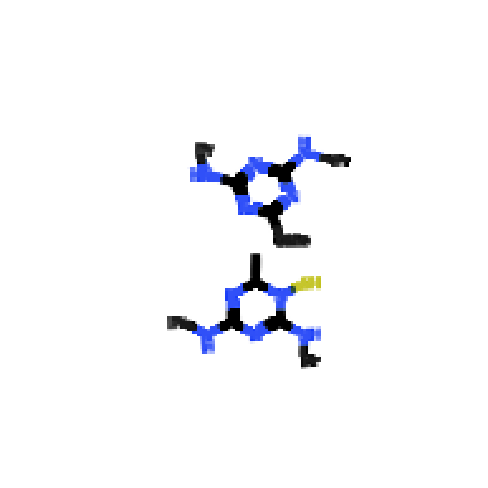 CC(C)NC1=NC(C)N(S)C(NC(C)C)=N1.COc1nc(NC(C)C)nc(NC(C)C)n1